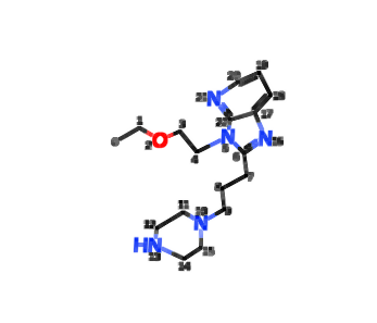 CCOCCn1c(CCCN2CCNCC2)nc2cccnc21